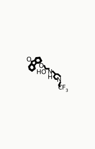 O=C1c2ccccc2-c2c(OCC(O)CNCC3CCN(CCC(F)(F)F)CC3)cccc21